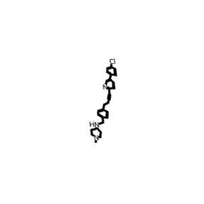 CN1CCC(NCc2ccc(CCC#Cc3ccc(-c4ccc(Cl)cc4)cn3)cc2)CC1